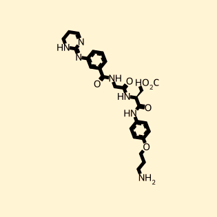 NCCCOc1ccc(NC(=O)[C@H](CC(=O)O)NC(=O)CNC(=O)c2cccc(N=C3N=CCCN3)c2)cc1